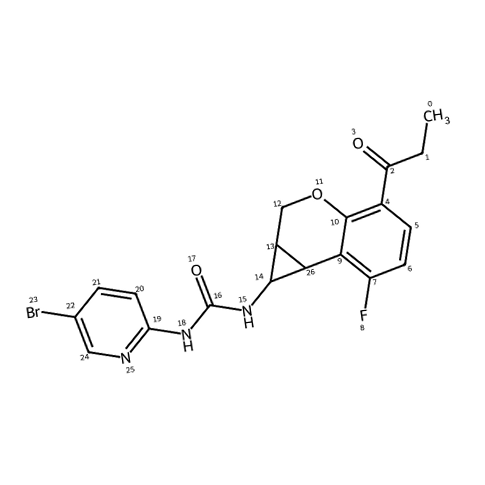 CCC(=O)c1ccc(F)c2c1OCC1C(NC(=O)Nc3ccc(Br)cn3)C21